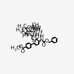 COC(=O)c1ccc(-c2ccc(NC(=O)OCc3ccccc3)c(=O)n2CC(=O)NC(O[SiH](C)C)(C(C)C)C(C(C)(C)C)C(F)(F)F)cc1